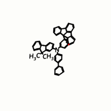 CC1(C)c2ccccc2-c2ccc(N(c3ccc(-c4ccccc4)cc3)c3cccc(C45c6ccccc6-c6cccc(c64)-c4ccccc45)c3)cc21